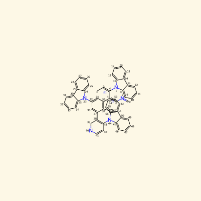 C=N/C=C(\C(=C/C)n1c2ccccc2c2ccccc21)c1cc(-n2c3ccccc3c3ccccc32)cc(-c2cnccc2-n2c3ccccc3c3ccccc32)c1C#N